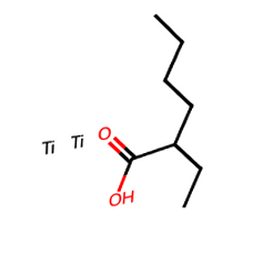 CCCCC(CC)C(=O)O.[Ti].[Ti]